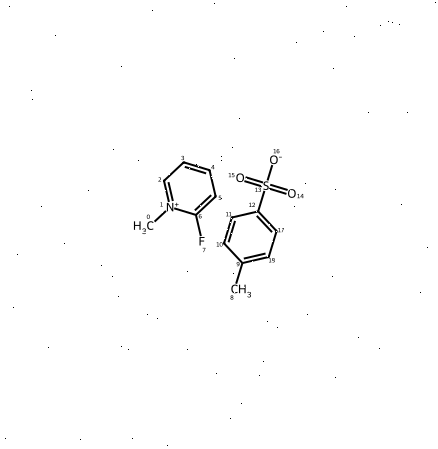 C[n+]1ccccc1F.Cc1ccc(S(=O)(=O)[O-])cc1